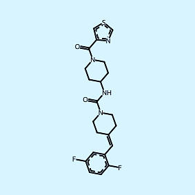 O=C(NC1CCN(C(=O)c2cscn2)CC1)N1CCC(=Cc2cc(F)ccc2F)CC1